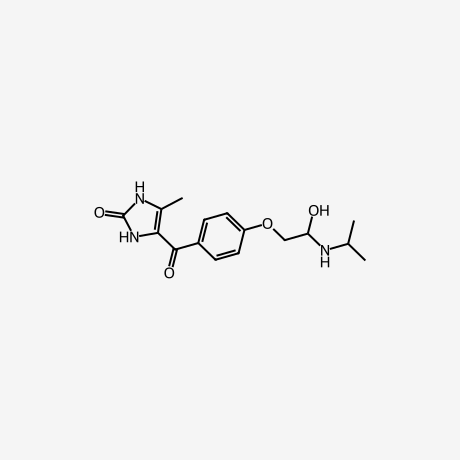 Cc1[nH]c(=O)[nH]c1C(=O)c1ccc(OCC(O)NC(C)C)cc1